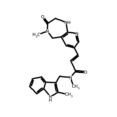 Cc1[nH]c2ccccc2c1CN(C)C(=O)C=Cc1cnc2c(c1)CN(C)C(=O)CN2